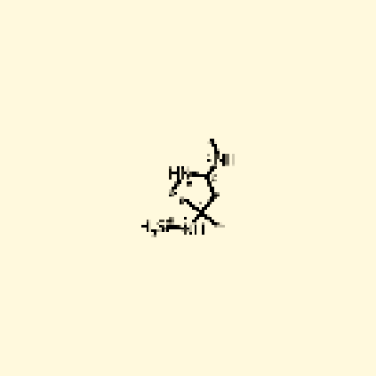 CNC(CC(C)(C)N[SiH3])NC